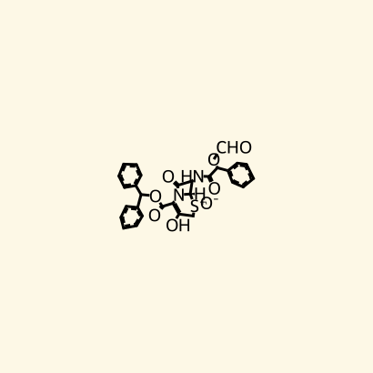 O=COC(C(=O)NC1C(=O)N2C(C(=O)OC(c3ccccc3)c3ccccc3)=C(O)C[S+]([O-])[C@@H]12)c1ccccc1